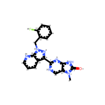 Cn1c(=O)[nH]c2nc(-c3nn(Cc4ccccc4F)c4ncccc34)ncc21